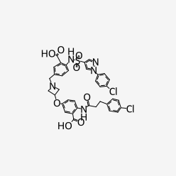 O=C(CCc1ccc(Cl)cc1)Nc1ccc(OC2CN(Cc3ccc(NS(=O)(=O)c4cnn(-c5ccc(Cl)cc5)c4)c(C(=O)O)c3)C2)cc1C(=O)O